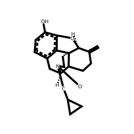 C=C1CCC2[C@H]3Cc4ccc(O)c5c4[C@@]2(CC[N+]3([O-])CC2CC2)[C@H]1O5